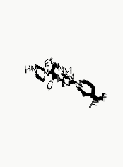 CCc1[nH]c2nc(N3CCC(=C(F)F)CC3)nn2c(=O)c1N1CCNCC1